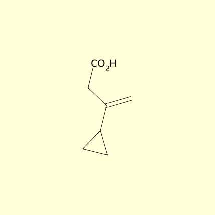 C=C(CC(=O)O)C1CC1